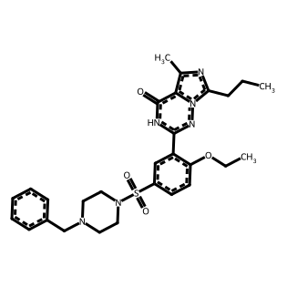 CCCc1nc(C)c2c(=O)[nH]c(-c3cc(S(=O)(=O)N4CCN(Cc5ccccc5)CC4)ccc3OCC)nn12